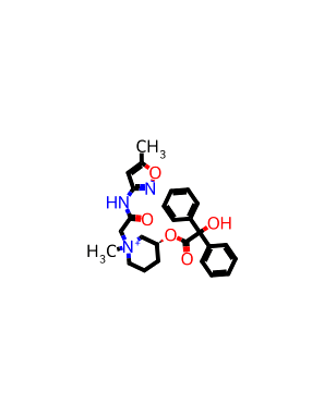 Cc1cc(NC(=O)C[N+]2(C)CCC[C@@H](OC(=O)C(O)(c3ccccc3)c3ccccc3)C2)no1